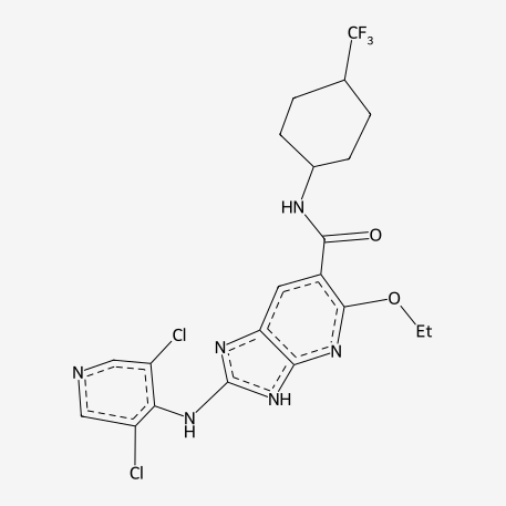 CCOc1nc2[nH]c(Nc3c(Cl)cncc3Cl)nc2cc1C(=O)NC1CCC(C(F)(F)F)CC1